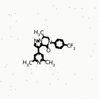 Cc1cc(-c2cnn3c2C(=O)N(c2ccc(C(F)(F)F)cc2)C[C@@H]3C)cc(C)n1